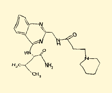 CC(C)[C@H](Nc1nc(CNC(=O)CCN2CCCCC2)nc2ccccc12)C(N)=O